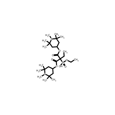 CCOP(=O)(O)C(CC)(C(=O)OC1CC(C)(C)N(C)C(C)(C)C1)C(=O)OC1CC(C)(C)N(C)C(C)(C)C1